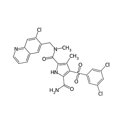 Cc1c(C(=O)N(C)Cc2cc3cccnc3cc2Cl)[nH]c(C(N)=O)c1S(=O)(=O)c1cc(Cl)cc(Cl)c1